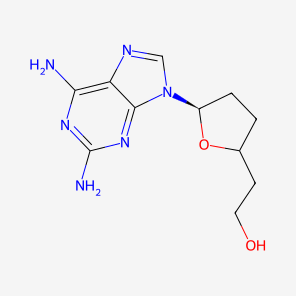 Nc1nc(N)c2ncn([C@H]3CCC(CCO)O3)c2n1